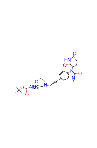 Cn1c(=O)n(C2CCC(=O)NC2=O)c2ccc(C#CCN3CCO[C@H](CNC(=O)OC(C)(C)C)C3)cc21